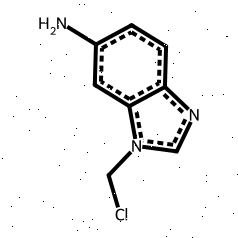 Nc1ccc2ncn(CCl)c2c1